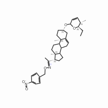 CC[C@H]1OC(O[C@H]2CC[C@@]3(C)C(=CCC4C3CC[C@@]3(C)C4CC[C@@H]3/C(C)=N/OCc3ccc([N+](=O)[O-])cc3)C2)C=C[C@@H]1C